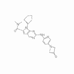 CN(C)C(=O)c1cc2cnc(Nc3ccc(N4CC(=O)C4)cn3)nc2n1C1CCCC1